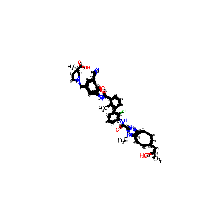 Cc1c(-c2nc3cc(CN4CC[C@@](C)(C(=O)O)C4)cc(C#N)c3o2)cccc1-c1cccc(NC(=O)c2nc3c(n2C)CCC(C[C@@H](C)O)CCC3)c1Cl